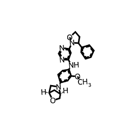 COc1cc(N2C[C@H]3C[C@@H]2CO3)ccc1Nc1cc(N2OCCC2c2ccccc2)ncn1